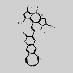 CC1=CC(C)=[N+](B(F)F)/C1=C(/C=C/c1cc2cc3c(cc2oc1=O)C#C/C=C\C=C/3)c1c(C)cc(C)n1C